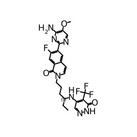 CC[C@@H](CCCn1ccc2cc(-c3ncc(OC)c(N)n3)c(F)cc2c1=O)Nc1cn[nH]c(=O)c1C(F)(F)F